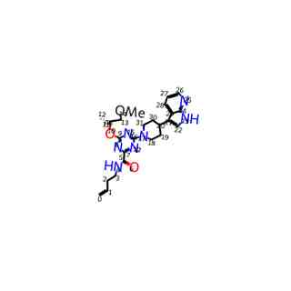 C=CCCNC(=O)c1nc(O[C@H](C)COC)nc(N2CCC(c3c[nH]c4ncccc34)CC2)n1